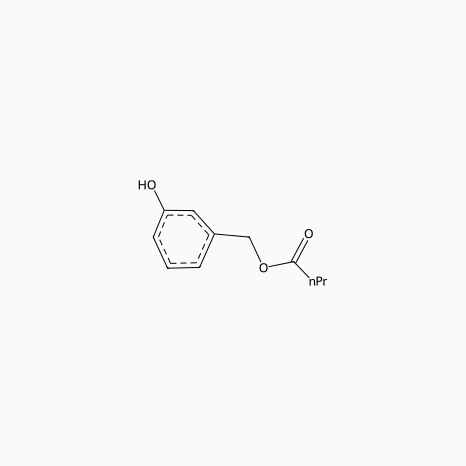 CCCC(=O)OCc1cccc(O)c1